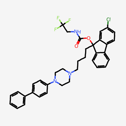 O=C(NCC(F)(F)F)OC1(CCCCN2CCN(c3ccc(-c4ccccc4)cc3)CC2)c2ccccc2-c2ccc(Cl)cc21